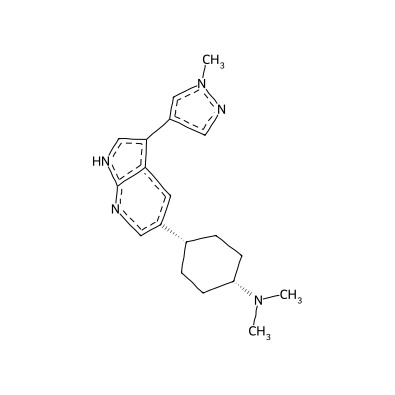 Cn1cc(-c2c[nH]c3ncc([C@H]4CC[C@@H](N(C)C)CC4)cc23)cn1